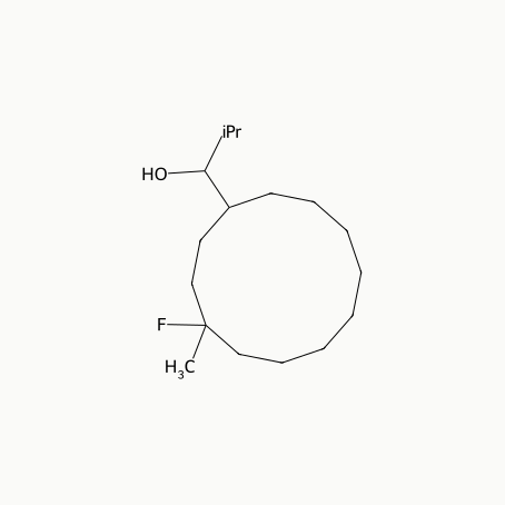 CC(C)C(O)C1CCCCCCCCC(C)(F)CC1